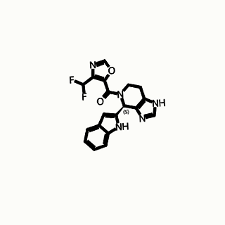 O=C(c1ocnc1C(F)F)N1CCc2[nH]cnc2[C@H]1c1cc2ccccc2[nH]1